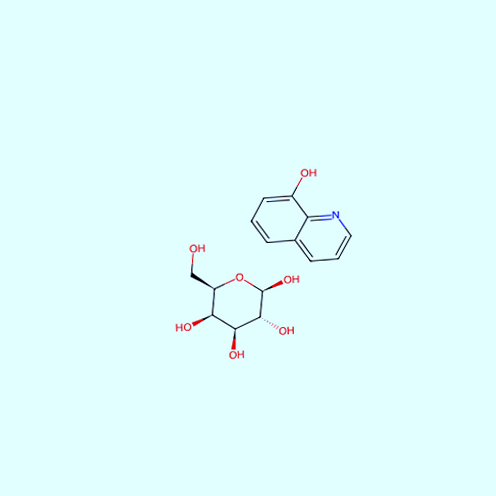 OC[C@H]1O[C@@H](O)[C@H](O)[C@@H](O)[C@H]1O.Oc1cccc2cccnc12